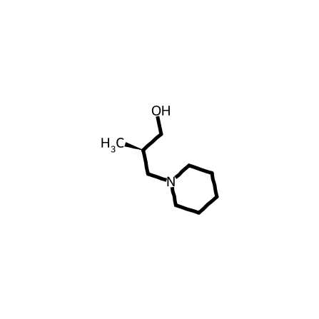 C[C@@H](CO)CN1CCCCC1